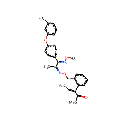 CCON=C(C(C)=NOCc1ccccc1C(=COC)C(=O)OC)c1ccc(Oc2cccc(C(F)(F)F)c2)cc1